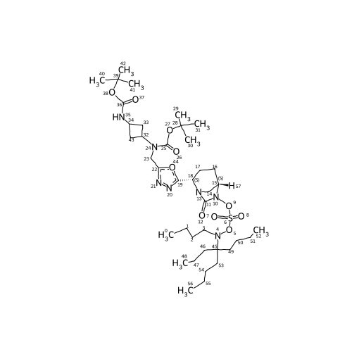 CCCCN(OS(=O)(=O)ON1C(=O)N2C[C@@H]1CC[C@H]2c1nnc(CN(C(=O)OC(C)(C)C)C2CC(NC(=O)OC(C)(C)C)C2)o1)C(CCC)(CCCC)CCCC